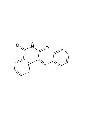 O=C1NC(=O)c2ccccc2/C1=C/c1ccccc1